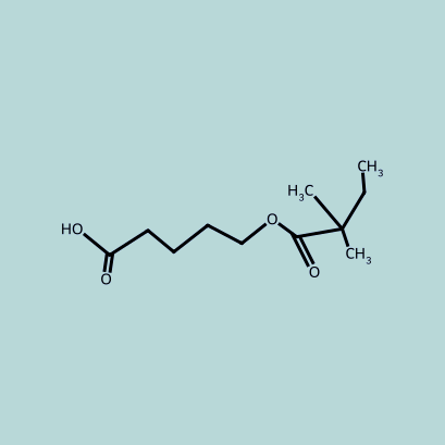 CCC(C)(C)C(=O)OCCCCC(=O)O